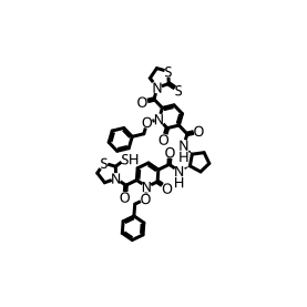 O=C(N[C@@H]1CCC[C@@H]1NC(=O)c1ccc(C(=O)N2CCSC2S)n(OCc2ccccc2)c1=O)c1ccc(C(=O)N2CCSC2=S)n(OCc2ccccc2)c1=O